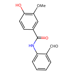 COc1cc(C(=O)Nc2ccccc2C=O)ccc1O